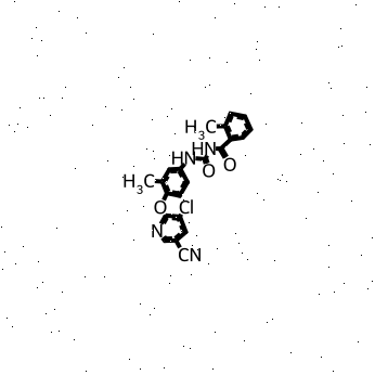 Cc1cc(NC(=O)NC(=O)c2ccccc2C)ccc1Oc1ncc(C#N)cc1Cl